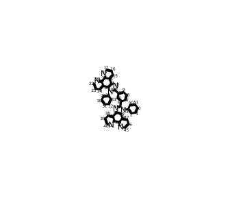 c1ccc(-n2c(-c3cccc(-c4nc5c6cccnc6c6ncccc6c5n4-c4ccccc4)c3)nc3c4cccnc4c4ncccc4c32)cc1